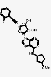 COC1CCC(Nc2ncnc3c2ncn3[C@@H]2O[C@H](C#Cc3ccccc3F)[C@@H](O)[C@H]2O)C1